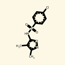 Cc1noc(NS(=O)(=O)c2ccc(Cl)cc2)c1C